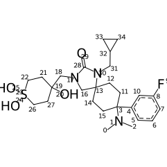 CN(C)C1(c2cccc(F)c2)CCC2(CC1)CN(CC1(O)CCS(O)(O)CC1)C(=O)N2CC1CC1